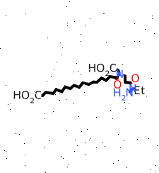 CCN(N)C(=O)CCN(CC(=O)O)C(=O)CCCCCCCCCCCCCCCCC(=O)O